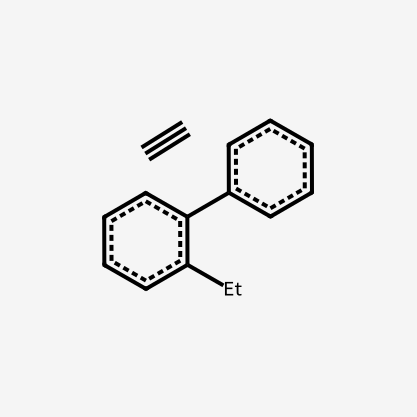 C#C.CCc1ccccc1-c1ccccc1